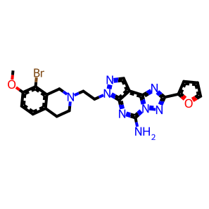 COc1ccc2c(c1Br)CN(CCn1ncc3c1nc(N)n1nc(-c4ccco4)nc31)CC2